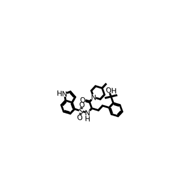 CC1CCN(C(=O)C(CCc2ccccc2C(C)(C)O)NS(=O)(=O)c2cccc3[nH]ccc23)CC1